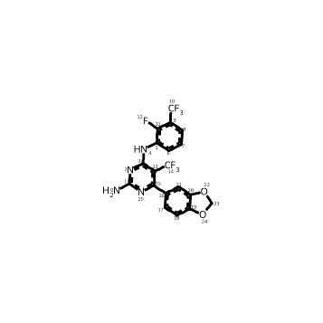 Nc1nc(Nc2cccc(C(F)(F)F)c2F)c(C(F)(F)F)c(-c2ccc3c(c2)OCO3)n1